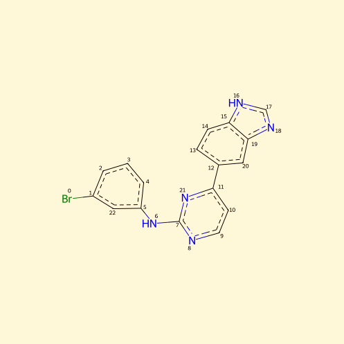 Brc1cccc(Nc2nccc(-c3ccc4[nH]cnc4c3)n2)c1